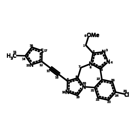 COCc1nnc2n1Cc1c(C#Cc3nc(C)cs3)ncn1-c1ccc(Cl)cc1-2